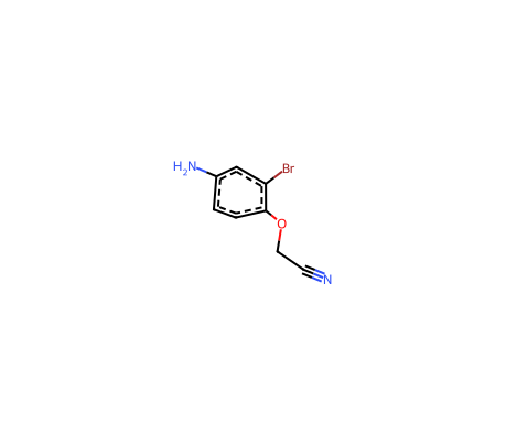 N#CCOc1ccc(N)cc1Br